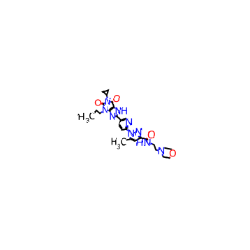 CCCn1c(=O)n(C2CC2)c(=O)c2[nH]c(-c3ccc(-n4nc(C(=O)NCCN5CCOCC5)cc4C)nc3)nc21